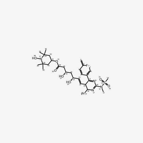 C=C(F)/C=C\C(=C/C)C1=NC(N(C)S(C)(=O)=O)=NC(C(C)C)C1/C=C/[C@@H](O)C[C@@H](O)CC(=O)OC1CC(C)(C)N(O)C(C)(C)C1